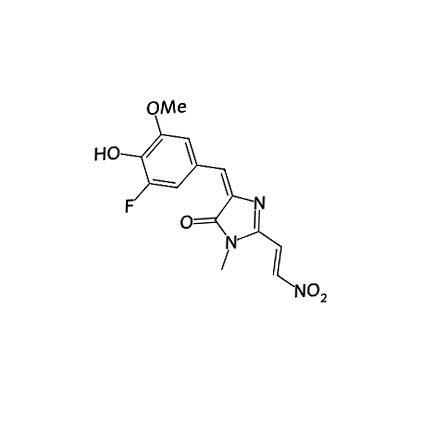 COc1cc(C=C2N=C(C=C[N+](=O)[O-])N(C)C2=O)cc(F)c1O